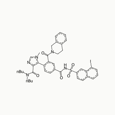 CCCCN(CCCC)C(=O)c1ncn(C)c1-c1ccc(C(=O)NS(=O)(=O)c2ccc3cccc(I)c3c2)cc1C(=O)N1CCc2ccccc2C1